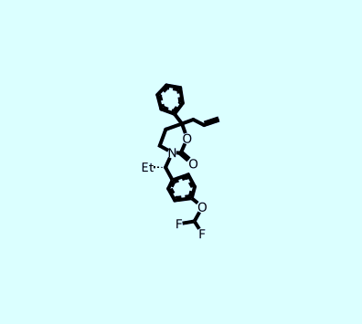 C=CCC1(c2ccccc2)CCN([C@@H](CC)c2ccc(OC(F)F)cc2)C(=O)O1